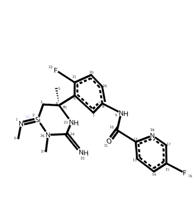 C/N=[Si]1/C[C@@](C)(c2cc(NC(=O)c3ccc(F)cn3)ccc2F)NC(=N)N1C